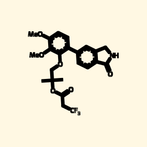 COc1ccc(-c2ccc3c(c2)CNC3=O)c(OCC(C)(C)OC(=O)CC(F)(F)F)c1OC